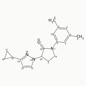 Cc1cc(C)cc(N2CCC(n3ccc(C4CC4)n3)C2=O)c1